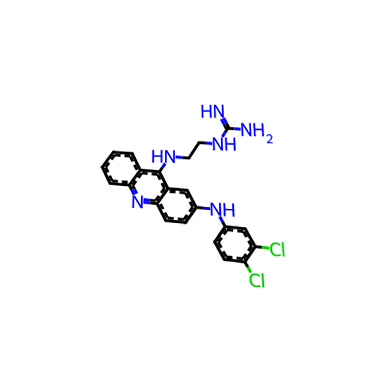 N=C(N)NCCNc1c2ccccc2nc2ccc(Nc3ccc(Cl)c(Cl)c3)cc12